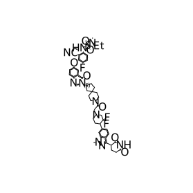 CCN(C)S(=O)(=O)Nc1ccc(F)c(Oc2ccc3ncn([C@H]4CCC5(CCN(C(=O)CN6CCC(c7ccc8c(C9CCC(=O)NC9=O)nn(C)c8c7)C(F)(F)C6)CC5)C4)c(=O)c3c2)c1C#N